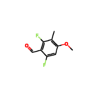 COc1cc(F)c(C=O)c(F)c1C